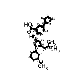 COC1CCCC(n2nc(Nc3ncc(-c4cccs4)cc3C(=O)O)cc2CC(C)C)C1